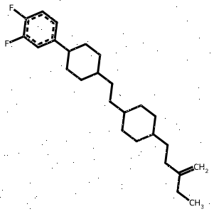 C=C(CC)CCC1CCC(CCC2CCC(c3ccc(F)c(F)c3)CC2)CC1